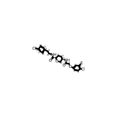 O=C(COc1ccc(Cl)c(F)c1)N[C@@H]1CC[C@H](C(=O)NCCc2ccc(Cl)cc2)OC1